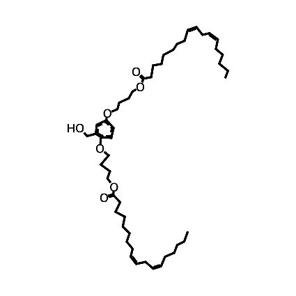 CCCCC/C=C\C/C=C\CCCCCCCC(=O)OCCCCOc1ccc(OCCCCOC(=O)CCCCCCC/C=C\C/C=C\CCCCC)c(CO)c1